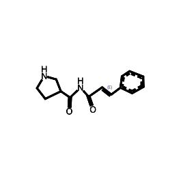 O=C(/C=C/c1ccccc1)NC(=O)C1CCNC1